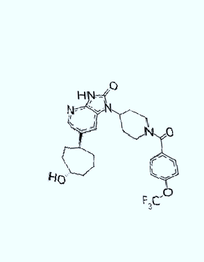 O=C(c1ccc(OC(F)(F)F)cc1)N1CCC(n2c(=O)[nH]c3ncc([C@H]4CCC[C@H](O)CC4)cc32)CC1